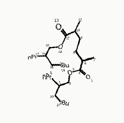 CCCC(COC(=O)C(C)CCC(C)C(=O)OCC(CCC)CC(C)CC)CC(C)CC